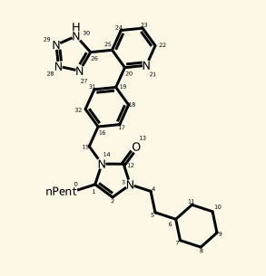 CCCCCc1cn(CCC2CCCCC2)c(=O)n1Cc1ccc(-c2ncccc2-c2nnn[nH]2)cc1